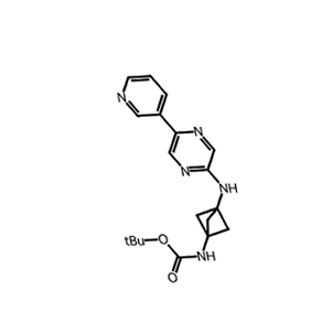 CC(C)(C)OC(=O)NC12CC(Nc3cnc(-c4cccnc4)cn3)(C1)C2